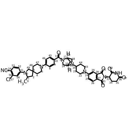 CC1CC2(CCN(c3ccc(C(=O)N4C[C@H]5C[C@@H]4CN5C4CCN(c5ccc6c(c5)C(=O)N(C5CCC(=O)NC5=O)C6=O)CC4)cc3)CC2)CN1c1ccc(C#N)c(Cl)c1